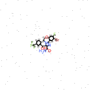 NC(=O)c1nc2n(c1C(O)c1cccc(C(F)(F)F)c1)CCOc1cc(F)c(Br)cc1-2